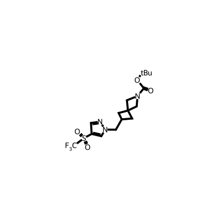 CC(C)(C)OC(=O)N1CC2(CC(Cn3cc(S(=O)(=O)C(F)(F)F)cn3)C2)C1